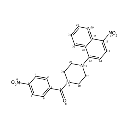 O=C(c1ccc([N+](=O)[O-])cc1)N1CCN(c2ccc([N+](=O)[O-])c3ncccc23)CC1